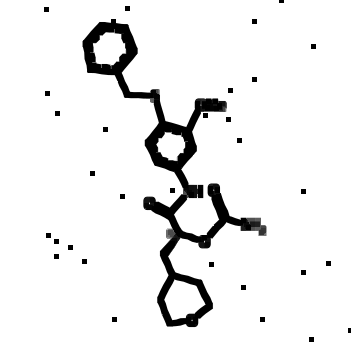 COc1cc(NC(=O)[C@H](CC2CCOCC2)OC(N)=O)ccc1SCc1ccccc1